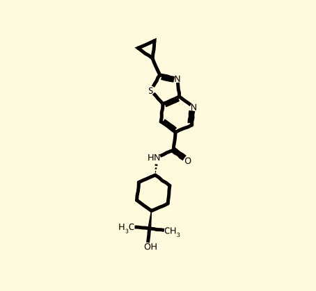 CC(C)(O)[C@H]1CC[C@H](NC(=O)c2cnc3nc(C4CC4)sc3c2)CC1